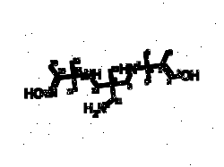 C/C(=C\O)C(C)(C)NCC(C)(CN)CNC(C)(C)/C(C)=N/O